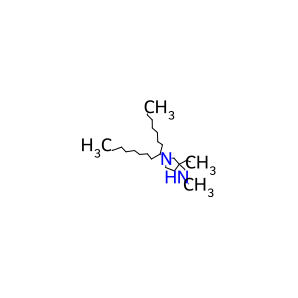 CCCCCCCCC(CCCCCCC)N1CCC(CC)(CNC)C1